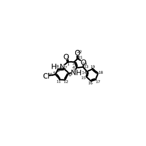 NC(=O)C1=C(Nc2ccc(Cl)cc2)C(c2ccccc2)OC1=O